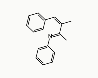 CC(=Cc1ccccc1)C(C)=Nc1ccccc1